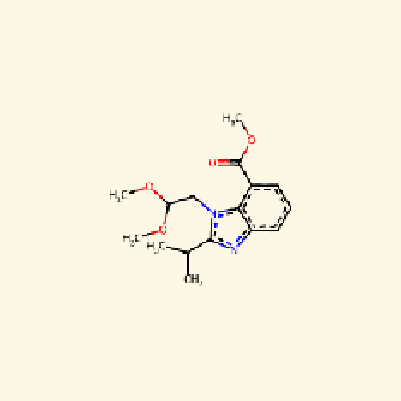 COC(=O)c1cccc2nc(C(C)C)n(CC(OC)OC)c12